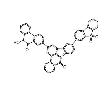 O=C1c2cc(-c3cc4c5ccccc5c(=O)n5c6ccc(-c7ccc8c(c7)S(=O)(=O)c7ccccc7-8)cc6c(c3)c45)ccc2-c2ccccc2C1O